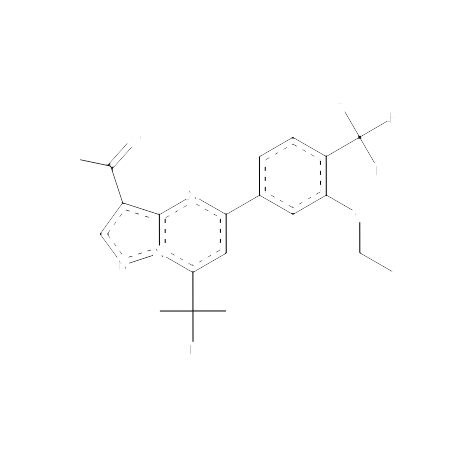 CCOc1cc(-c2cc(C(F)(F)F)n3ncc(C(=O)O)c3n2)ccc1C(F)(F)F